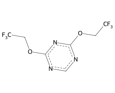 FC(F)(F)COc1ncnc(OCC(F)(F)F)n1